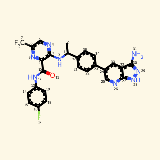 CC(Nc1ncc(C(F)(F)F)nc1C(=O)Nc1ccc(F)cc1)c1ccc(-c2cnc3[nH]nc(N)c3c2)cc1